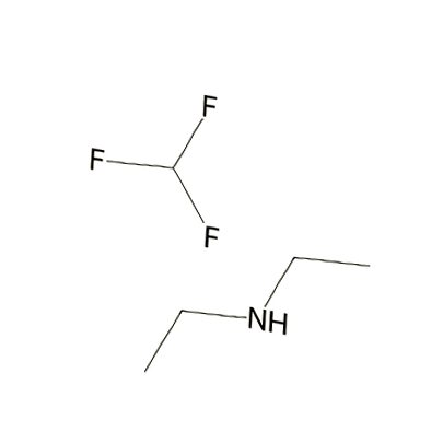 CCNCC.FC(F)F